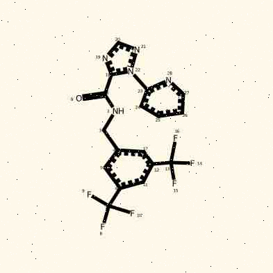 O=C(NCc1cc(C(F)(F)F)cc(C(F)(F)F)c1)c1ncnn1-c1ccccn1